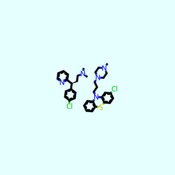 CN(C)CC[C@@H](c1ccc(Cl)cc1)c1ccccn1.CN1CCN(CCCN2c3ccccc3Sc3ccc(Cl)cc32)CC1